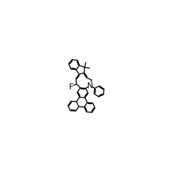 CC1(C)C2=C\CN(c3ccccc3)c3cc4c(cc3C(F)/C=C\2c2ccccc21)C1C=CC=CC1c1ccccc1-4